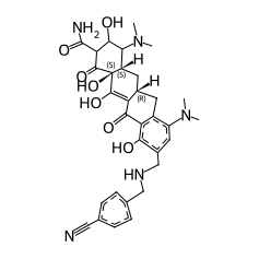 CN(C)c1cc(CNCc2ccc(C#N)cc2)c(O)c2c1C[C@H]1C[C@H]3C(N(C)C)C(O)C(C(N)=O)C(=O)[C@@]3(O)C(O)=C1C2=O